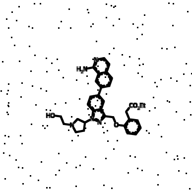 CCOC(=O)Cc1ccccc1OCc1nn(C2CCN(CCO)C2)c2ccc(-c3ccc4ccnc(N)c4c3)cc12